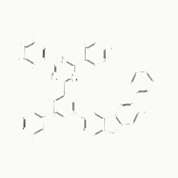 c1ccc(-c2cc(-c3ccc4sc5ccc(-c6ccccc6)cc5c4c3)cc(-c3nc(-c4ccccc4)nc(-c4ccccc4)n3)c2)cc1